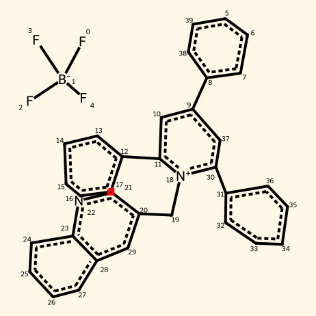 F[B-](F)(F)F.c1ccc(-c2cc(-c3ccccc3)[n+](Cc3cnc4ccccc4c3)c(-c3ccccc3)c2)cc1